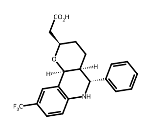 O=C(O)C[C@H]1CC[C@@H]2[C@H](O1)c1cc(C(F)(F)F)ccc1N[C@H]2c1ccccc1